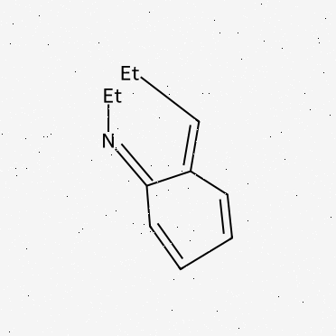 CC/C=C1/C=CC=C/C1=N/CC